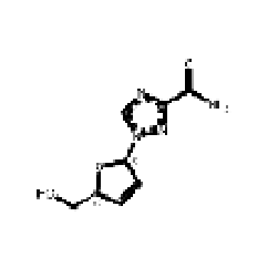 NC(=O)c1ncn([C@H]2C=C[C@@H](CO)O2)n1